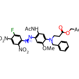 COc1cc(/N=N/c2cc(F)c([N+](=O)[O-])cc2[N+](=O)[O-])c(NC(C)=O)cc1N(CCC(=O)OCC(C)=O)Cc1ccccc1